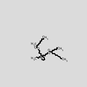 CCCCCCCCC(C)C(=O)OCCCCCC1(CCCCCOC(=O)C(CCCCCC)CCCCCCCC)CCCCN1CCCC